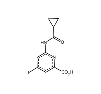 O=C(O)c1cc(I)cc(NC(=O)C2CC2)n1